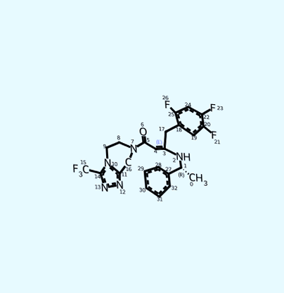 C[C@@H](N/C(=C/C(=O)N1CCn2c(nnc2C(F)(F)F)C1)Cc1cc(F)c(F)cc1F)c1ccccc1